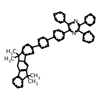 CC1(C)C2=C(CC3C(=C2)c2cc(-c4ccc(-c5ccc(-c6nc(-c7ccccc7)c(-c7ccccc7)nc6-c6ccccc6)cc5)cc4)ccc2C3(C)C)c2ccccc21